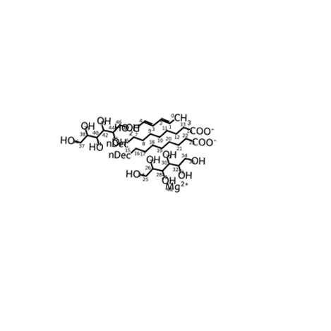 C/C=C/C=C/C(=O)O.CCCCCCCCCCCCCCCCCC(=O)[O-].CCCCCCCCCCCCCCCCCC(=O)[O-].OCC(O)C(O)C(O)C(O)CO.OCC(O)C(O)C(O)C(O)CO.[Mg+2]